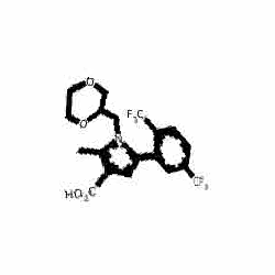 Cc1c(C(=O)O)cc(-c2cc(C(F)(F)F)ccc2C(F)(F)F)n1CC1COCCO1